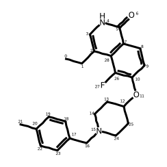 CCc1c[nH]c(=O)c2ccc(OC3CCN(Cc4ccc(C)cc4)CC3)c(F)c12